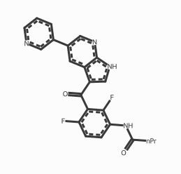 CCCC(=O)Nc1ccc(F)c(C(=O)c2c[nH]c3ncc(-c4cccnc4)cc23)c1F